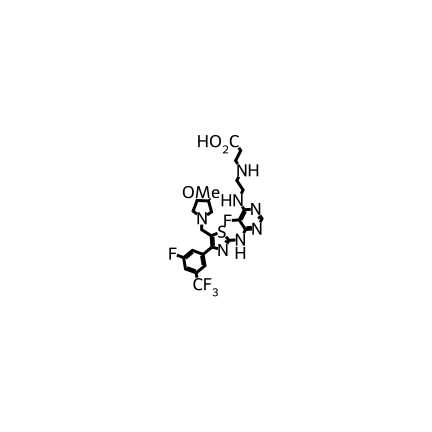 CO[C@H]1CCN(Cc2sc(Nc3ncnc(NCCNCCC(=O)O)c3F)nc2-c2cc(F)cc(C(F)(F)F)c2)C1